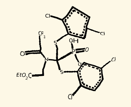 CCOC(=O)CN(C(=O)C(F)(F)F)C(Sc1cc(Cl)ccc1Cl)(Sc1cc(Cl)ccc1Cl)P(=O)(O)O